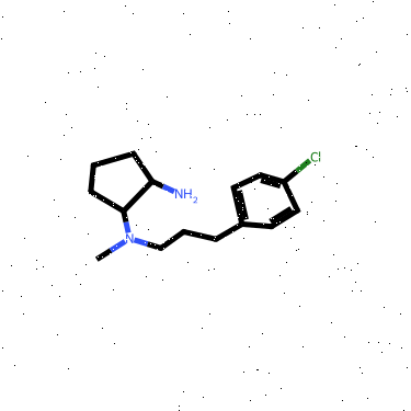 CN(CCCc1ccc(Cl)cc1)C1CCCC1N